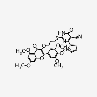 COc1cc(OC)c2c(=O)c(OCCCSc3nc(-c4cccs4)c(C#N)c(=O)[nH]3)c(-c3cc(OC)c(OC)c(OC)c3)oc2c1